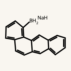 Bc1cccc2ccc3cc4ccccc4cc3c12.[NaH]